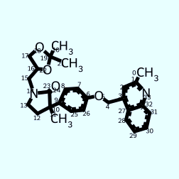 Cc1cc(COc2ccc(C3(C)CCN(CC4COC(C)(C)O4)C3=O)cc2)c2ccccc2n1